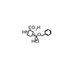 Cl.O=C(O)C1CN(C(=O)OCc2ccccc2)CCN1